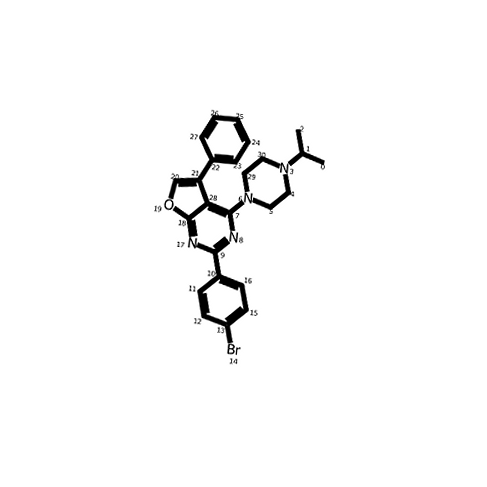 CC(C)N1CCN(c2nc(-c3ccc(Br)cc3)nc3occ(-c4ccccc4)c23)CC1